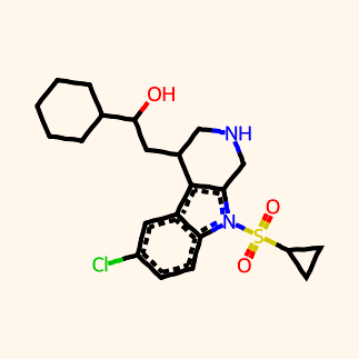 O=S(=O)(C1CC1)n1c2c(c3cc(Cl)ccc31)C(CC(O)C1CCCCC1)CNC2